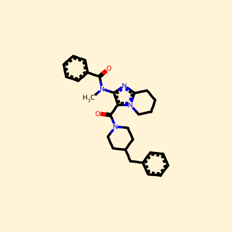 CN(C(=O)c1ccccc1)c1nc2n(c1C(=O)N1CCC(Cc3ccccc3)CC1)CCCC2